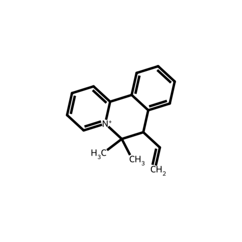 C=CC1c2ccccc2-c2cccc[n+]2C1(C)C